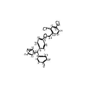 Cc1ccc(C(c2ccc(OCc3ccc(Cl)cc3Cl)cc2)n2ccnc2)cc1